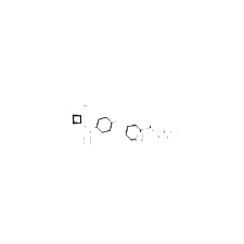 CCOc1c(Nc2ccc(Oc3ccnc(C(=O)NC)c3)cc2)c(=O)c1=O